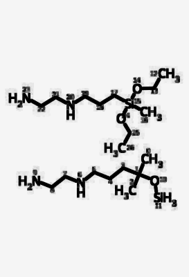 CC(C)(CCCNCCN)O[SiH3].CCO[Si](C)(CCCNCCN)OCC